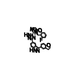 COc1cccc(F)c1CN1CC=CC[C@@H]1c1nc(-c2ccc3[nH]nc(-c4ccc5c(c4)CCO5)c3c2)n[nH]1